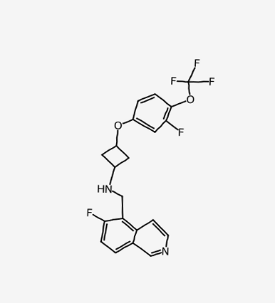 Fc1cc(OC2CC(NCc3c(F)ccc4cnccc34)C2)ccc1OC(F)(F)F